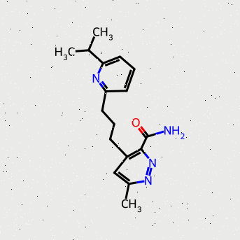 Cc1cc(CCCc2cccc(C(C)C)n2)c(C(N)=O)nn1